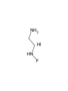 I.NCCNF